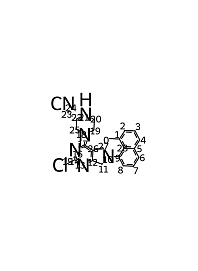 Cc1cccc2cccc(N3Cc4nc(Cl)nc(N5CCN[C@@H](CC#N)C5)c4C3)c12